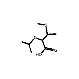 COC(C)C(OC(C)C)C(=O)O